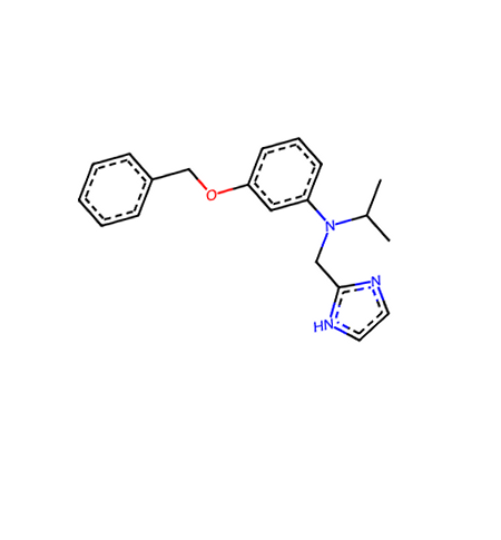 CC(C)N(Cc1ncc[nH]1)c1cccc(OCc2ccccc2)c1